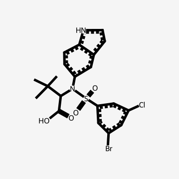 CC(C)(C)C(C(=O)O)N(c1ccc2[nH]ccc2c1)S(=O)(=O)c1cc(Cl)cc(Br)c1